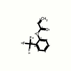 C=CC(=O)Oc1ccccc1C(F)(F)F